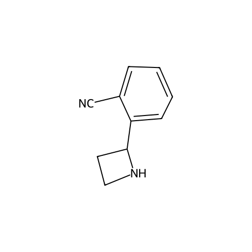 N#Cc1ccccc1C1CCN1